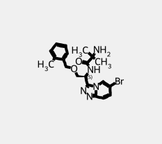 Cc1ccccc1COC[C@@H](NC(=O)C(C)(C)N)c1nnc2ccc(Br)cn12